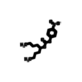 CCCCC(CCCC)OC(=O)Oc1ccc([N+](=O)[O-])cc1